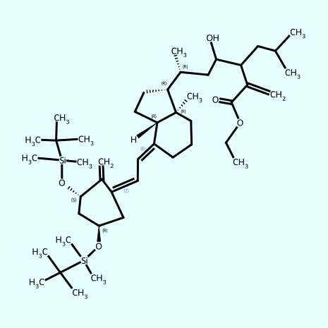 C=C(C(=O)OCC)C(CC(C)C)C(O)C[C@@H](C)[C@H]1CC[C@H]2/C(=C/C=C3/C[C@@H](O[Si](C)(C)C(C)(C)C)C[C@H](O[Si](C)(C)C(C)(C)C)C3=C)CCC[C@]12C